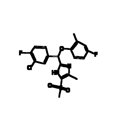 Cc1cc(F)ccc1OC(c1ccc(F)c(Cl)c1)c1nc(C)c(S(C)(=O)=O)[nH]1